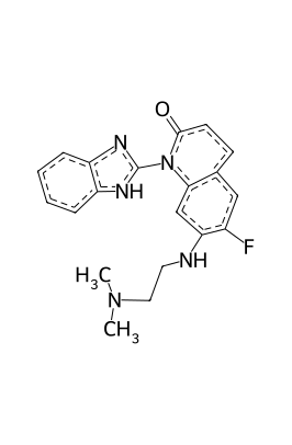 CN(C)CCNc1cc2c(ccc(=O)n2-c2nc3ccccc3[nH]2)cc1F